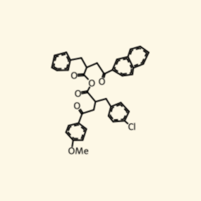 COc1ccc(C(=O)CC(Cc2ccc(Cl)cc2)C(=O)OC(=O)C(CC(=O)c2ccc3ccccc3c2)Cc2ccccc2)cc1